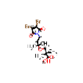 CC(C)(CCN1C(=O)C(Br)=C(Br)C1=O)OCC(C)(C)C(=O)O